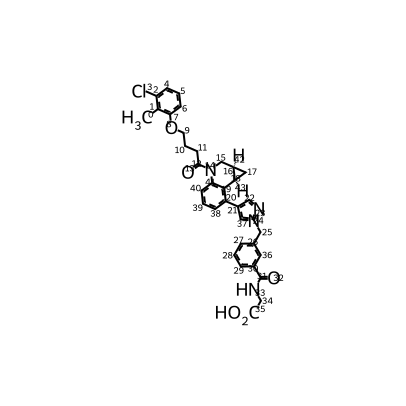 Cc1c(Cl)cccc1OCCCC(=O)N1C[C@H]2C[C@H]2c2c(-c3cnn(Cc4cccc(C(=O)NCC(=O)O)c4)c3)cccc21